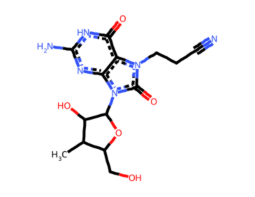 CC1C(CO)OC(n2c(=O)n(CCC#N)c3c(=O)[nH]c(N)nc32)C1O